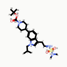 CC(C)Cn1cc(CCNS(=O)(=O)N(C)C)c2ccc(C3CCN(C(=O)OC(C)(C)C)CC3)cc21